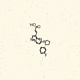 O=C(O)/C=C/c1cnn2ccc(N3CCC[C@@H]3c3cccc(F)c3)nc12